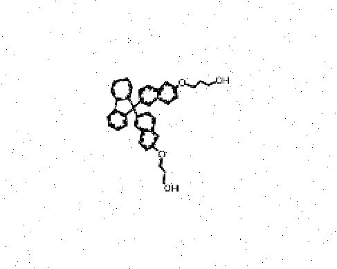 OCCCOc1ccc2cc(C3(c4ccc5cc(OCCCO)ccc5c4)c4ccccc4-c4ccccc43)ccc2c1